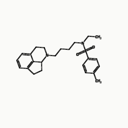 CCN(CCCCN1CCc2cccc3c2C1CC3)S(=O)(=O)c1ccc(C)cc1